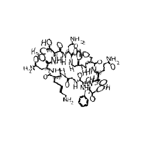 C[C@H](N)C(=O)NCC(=O)N[C@@H](CCCCN)C(=O)N[C@@H](CC(N)=O)C(=O)N[C@H](C(=O)N[C@@H](CC(N)=O)C(=O)NCC(=O)N[C@@H](CO)C(=O)N[C@@H](CCC(N)=O)C(=O)N[C@@H](Cc1ccccc1)C(=O)O)[C@@H](C)O